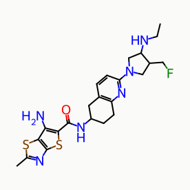 CCNC1CN(c2ccc3c(n2)CCC(NC(=O)c2sc4nc(C)sc4c2N)C3)CC1CF